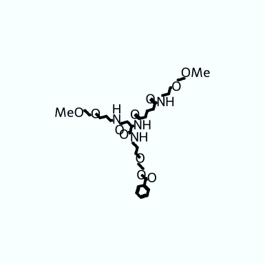 COCCOCCCNC(=O)CCCC(=O)NC(CC(=O)NCCCOCCOC)C(=O)NCCCOCCOC(=O)c1ccccc1